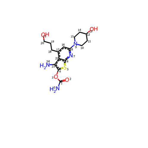 NC(=O)Oc1sc2nc(N3CCC(O)CC3)cc(CCCO)c2c1N